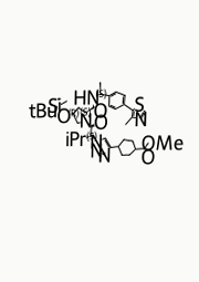 COC(=O)C1CCC(c2cn([C@H](C(=O)N3C[C@H](O[Si](C)(C)C(C)(C)C)C[C@H]3C(=O)N[C@@H](C)c3ccc(-c4scnc4C)cc3)C(C)C)nn2)CC1